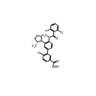 CNC(=O)c1ccc(Cl)c(-c2ccc(N(C)C(=O)c3c(F)cccc3Cl)c(N3CCC[C@H]3C(F)(F)F)c2)c1